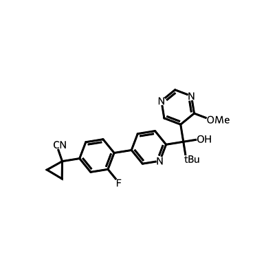 COc1ncncc1C(O)(c1ccc(-c2ccc(C3(C#N)CC3)cc2F)cn1)C(C)(C)C